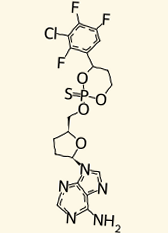 Nc1ncnc2c1ncn2[C@H]1CC[C@@H](COP2(=S)OCCC(c3cc(F)c(F)c(Cl)c3F)O2)O1